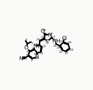 CC(C)Oc1c(C#N)cnc2ccc(/C=C3\SC(NCc4ccccc4Cl)=NC3=O)nc12